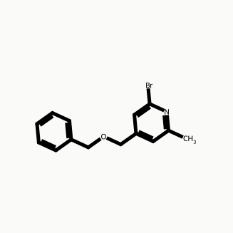 Cc1cc(COCc2ccccc2)cc(Br)n1